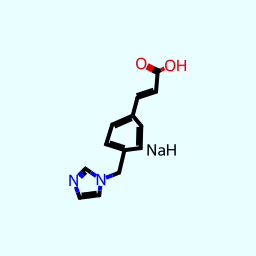 O=C(O)/C=C/c1ccc(Cn2ccnc2)cc1.[NaH]